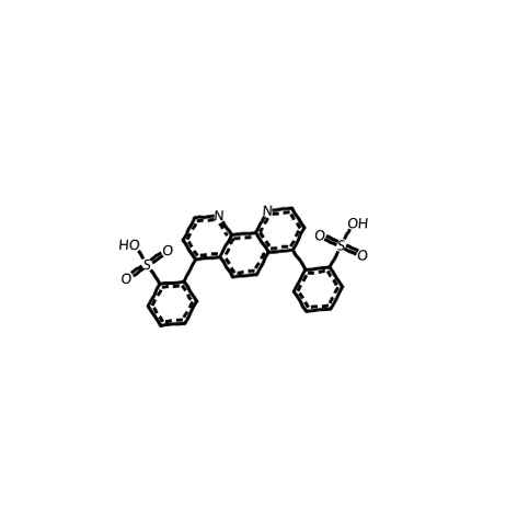 O=S(=O)(O)c1ccccc1-c1ccnc2c1ccc1c(-c3ccccc3S(=O)(=O)O)ccnc12